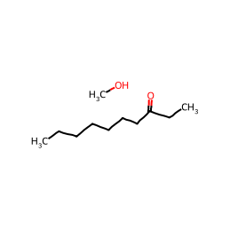 CCCCCCCC(=O)CC.CO